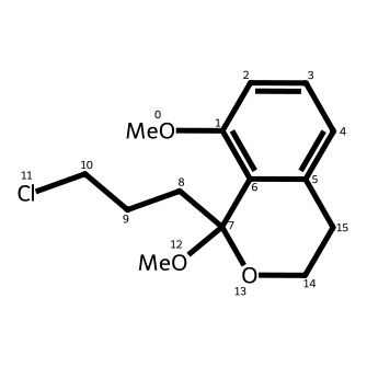 COc1cccc2c1C(CCCCl)(OC)OCC2